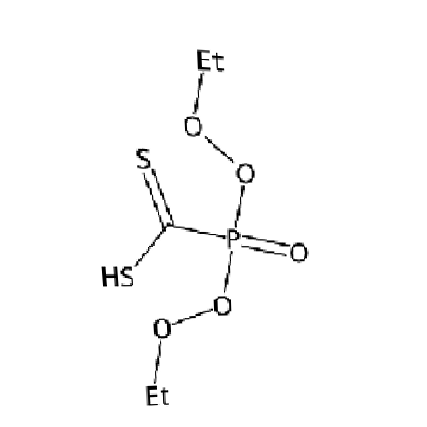 CCOOP(=O)(OOCC)C(=S)S